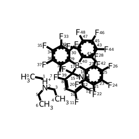 CC[NH+](CC)CC.FC1=CC(F)=C(F)NC1(F)[B-](c1c(F)c(F)c(F)c(F)c1F)(c1c(F)c(F)c(F)c(F)c1F)c1c(F)c(F)c(F)c(F)c1F